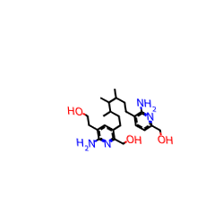 CC(CCc1ccc(CO)nc1N)C(C)C(C)CCc1cc(CCO)c(N)nc1CO